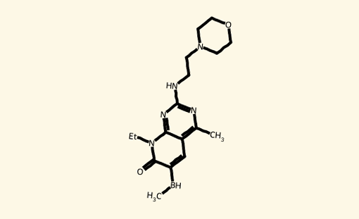 CBc1cc2c(C)nc(NCCN3CCOCC3)nc2n(CC)c1=O